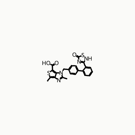 Cc1sc(C(=O)O)c2c1nc(C)n2Cc1ccc(-c2ccccc2-c2nc(=O)s[nH]2)cc1